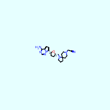 N#CCN1CCC2(CCCN2C[C@@H]2CC[C@H](c3ccc4c(N)ncnn34)O2)CC1